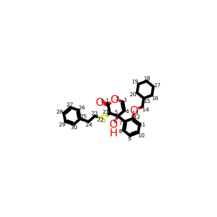 O=C1OC=CC(O)(c2ccccc2OCC2CCCCC2)C1SCCc1ccccc1